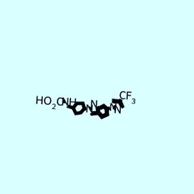 O=C(O)NCC1CCC(n2cc3ccc(-n4cc(C(F)(F)F)cn4)cc3n2)CC1